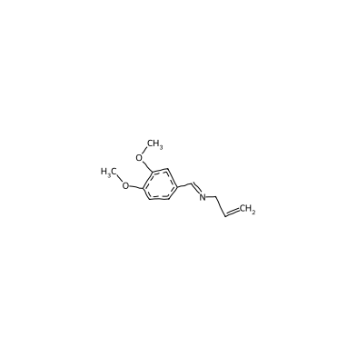 C=CC/N=C/c1ccc(OC)c(OC)c1